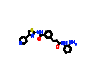 Nc1ccccc1NC(=O)/C=C/c1cccc(C(=O)Nc2nc(-c3ccncc3)cs2)c1